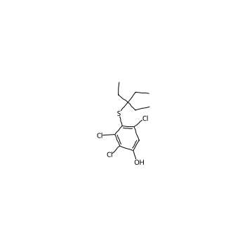 CCC(CC)(CC)Sc1c(Cl)cc(O)c(Cl)c1Cl